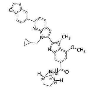 COc1cc(C(=O)N2C[C@H]3CC[C@@H]2[C@@H]3N)cc2nc(-c3cc4ccc(-c5ccc6occc6c5)nc4n3CC3CC3)n(C)c12